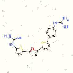 N=C(N)Nc1ccc(-c2ccc(-c3ccc(-c4ccc(NC(=N)N)s4)o3)s2)cc1